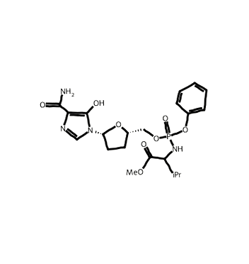 COC(=O)C(NP(=O)(OC[C@@H]1CC[C@H](n2cnc(C(N)=O)c2O)O1)Oc1ccccc1)C(C)C